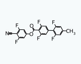 Cc1cc(F)c(-c2cc(F)c(C(=O)Oc3cc(F)c(C#N)c(F)c3)c(F)c2)c(F)c1